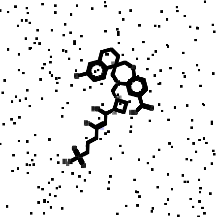 NS(=O)(=O)CCC/C(Br)=C/C(O)[C@@H]1CC[C@H]1CN1C[C@@]2(CCCc3cc(Cl)ccc32)COc2ccc(C(=O)O)cc21